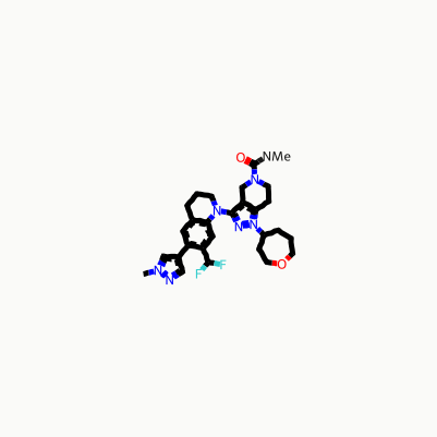 CNC(=O)N1CCc2c(c(N3CCCc4cc(-c5cnn(C)c5)c(C(F)F)cc43)nn2C2CCCOCC2)C1